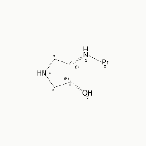 CC(C)N[C@H]1CNC[C@H]1O